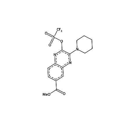 COC(=O)c1ccc2nc(OS(=O)(=O)C(F)(F)F)c(N3CCCCC3)nc2c1